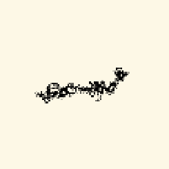 CCS(=O)(=O)c1ccc2c(c1)CCN(CCCSc1nnc(-c3cccc(-c4noc(C)n4)c3)n1C)CC2